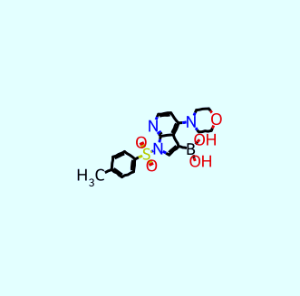 Cc1ccc(S(=O)(=O)n2cc(B(O)O)c3c(N4CCOCC4)ccnc32)cc1